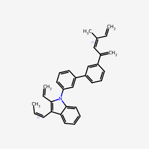 C=C/C(C)=C\C(=C)c1cccc(-c2cccc(-n3c(C=C)c(/C=C\C)c4ccccc43)c2)c1